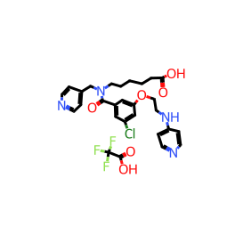 O=C(O)C(F)(F)F.O=C(O)CCCCCN(Cc1ccncc1)C(=O)c1cc(Cl)cc(OCCNc2ccncc2)c1